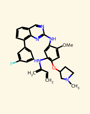 C=CC(=C)Nc1cc(Nc2ncc3cccc(-c4cccc(F)c4)c3n2)c(OC)cc1OC1CCN(C)C1